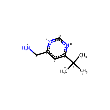 CC(C)(C)c1cc(CN)ncn1